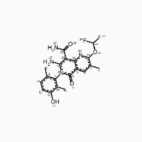 Cc1cc2c(=O)n(-c3c(C)ccc(O)c3C)c(N)c(C(N)=O)c2nc1OC(F)F